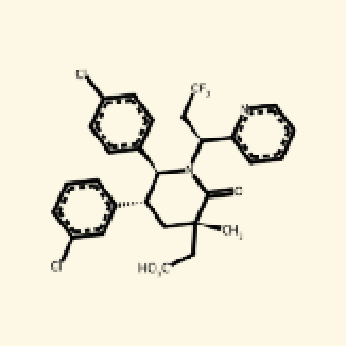 C[C@@]1(CC(=O)O)C[C@H](c2cccc(Cl)c2)[C@@H](c2ccc(Cl)cc2)N([C@@H](CC(F)(F)F)c2ccccn2)C1=O